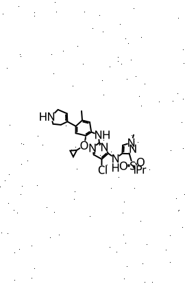 Cc1cc(Nc2ncc(Cl)c(Nc3cn(C)nc3S(=O)(=O)C(C)C)n2)c(OC2CC2)cc1C1=CCNCC1